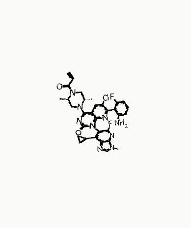 C=CC(=O)N1C[C@H](C)N(c2nc(=O)n(-c3c(F)nc4c(ncn4C)c3C3CC3)c3nc(-c4c(N)cccc4F)c(Cl)cc23)C[C@H]1C